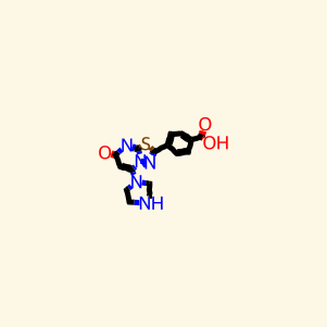 O=C(O)c1ccc(-c2nn3c(N4CCNCC4)cc(=O)nc3s2)cc1